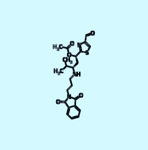 CC(=O)O[C@H](C[C@@H](NCCCN1C(=O)c2ccccc2C1=O)C(C)C)c1nc(C=O)cs1